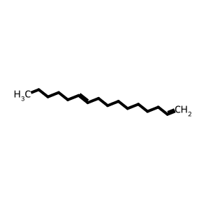 C=CCCCCCCCC=CCCCCC